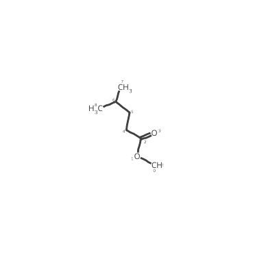 [CH]OC(=O)CCC(C)C